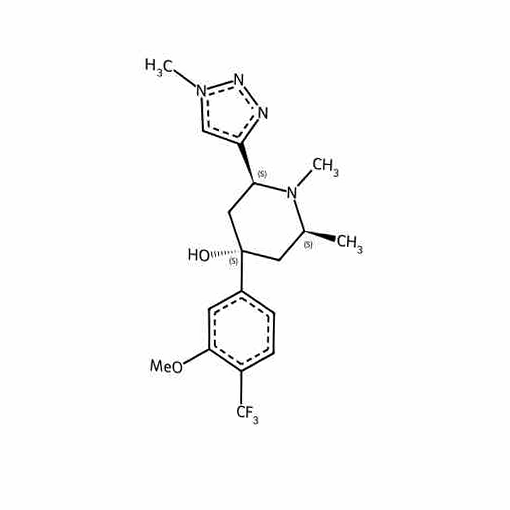 COc1cc([C@]2(O)C[C@H](C)N(C)[C@H](c3cn(C)nn3)C2)ccc1C(F)(F)F